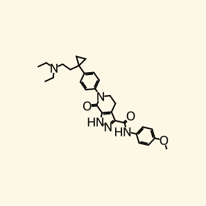 CCN(CC)CCC1(c2ccc(N3CCc4c(C(=O)Nc5ccc(OC)cc5)n[nH]c4C3=O)cc2)CC1